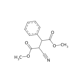 COC(=O)C(C#N)C(C(=O)OC)c1ccccc1